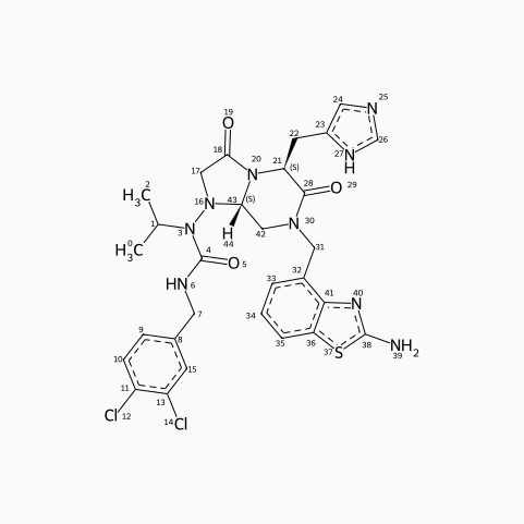 CC(C)N(C(=O)NCc1ccc(Cl)c(Cl)c1)N1CC(=O)N2[C@@H](Cc3cnc[nH]3)C(=O)N(Cc3cccc4sc(N)nc34)C[C@@H]21